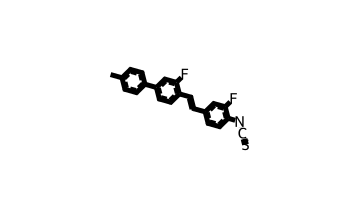 Cc1ccc(-c2ccc(C=Cc3ccc(N=C=S)c(F)c3)c(F)c2)cc1